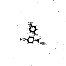 CC(C)(C)OC(=O)N1CC[C@@H](O)C[C@@H]1Cc1ccc(Cl)cc1